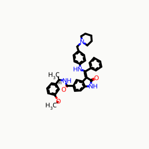 COc1cccc([C@@H](C)NC(=O)c2ccc3c(c2)C(=C(Nc2ccc(CN4CCCCC4)cc2)c2ccccc2)C(=O)N3)c1